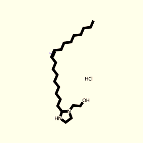 CCCCCCCC/C=C\CCCCCCCCC1NCCN1CCO.Cl